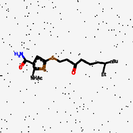 CCCCC(CC)CCCC(=O)CCSc1cc(C(N)=O)c(NC(C)=O)s1